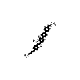 CCCCCC1CCC(CC(=O)c2ccc(C3CCC(C4CCC(CCC)CC4)CC3)c(F)c2C)CC1